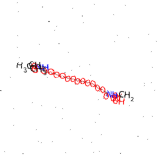 [CH2][CH]COP(=O)(O)OCCNC(=O)CCOCCOCCOCCOCCOCCOCCOCCOCCOCCOCCOCCOCCNC(=O)OC(C)(C)C